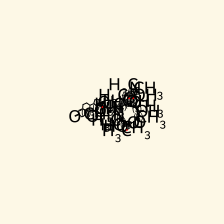 CC[C@H]1OC(=O)[C@H](C)C(O)[C@H](C)C(O[C@@H]2O[C@H](C)C[C@@H](N(C)C)[C@H]2O)[C@](C)(O)C[C@@H](C)CN(CCCNC(=O)[C@@]2(O)CCC3C4CCC5=CC(=O)CC[C@]5(C)C4[C@@H](O)C[C@@]32C)[C@H](C)[C@@H](O)[C@]1(C)O